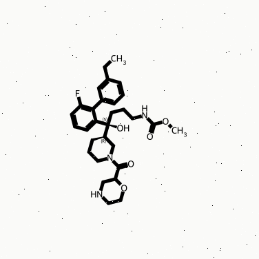 CCc1cccc(-c2c(F)cccc2[C@](O)(CCCNC(=O)OC)[C@@H]2CCCN(C(=O)C3CNCCO3)C2)c1